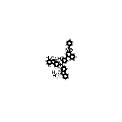 CC1(C)c2ccccc2-c2ccc(N(c3ccc(-c4cc5nc(-c6ccccc6)oc5c5ccccc45)cc3)c3ccc4c(c3)C(C)(C)c3ccccc3-4)cc21